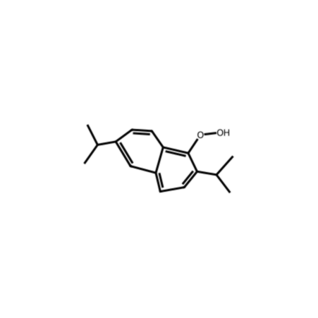 CC(C)c1ccc2c(OO)c(C(C)C)ccc2c1